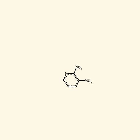 O=[N+]([O-])c1cccnc1[N+](=O)[O-]